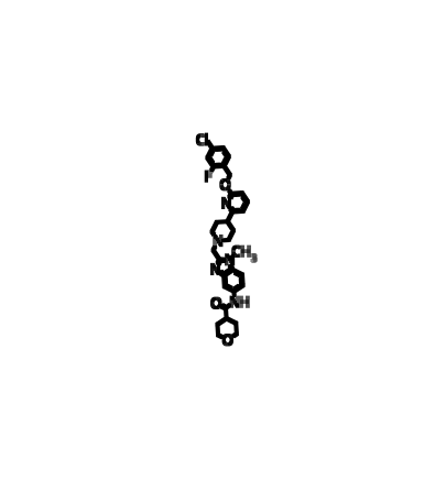 Cn1c(CN2CCC(c3cccc(OCc4ccc(Cl)cc4F)n3)CC2)nc2cc(NC(=O)C3CCOCC3)ccc21